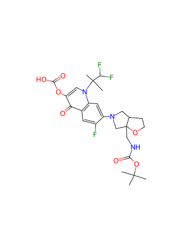 CC(C)(C)OC(=O)NCC12CN(c3cc4c(cc3F)c(=O)c(OC(=O)O)cn4C(C)(C)C(F)F)CC1CCO2